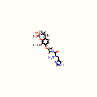 N[C@@H](Cc1c[nH]cn1)C(=O)N1CC(Oc2ccc3c(c2C(=O)O)O[B-](O)(O)[C@H]2C[C@@H]32)C1